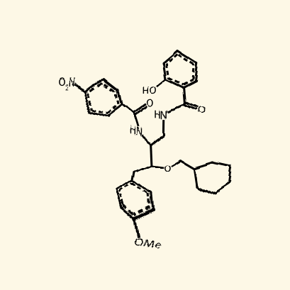 COc1ccc(CC(OCC2CCCCC2)C(CNC(=O)c2ccccc2O)NC(=O)c2ccc([N+](=O)[O-])cc2)cc1